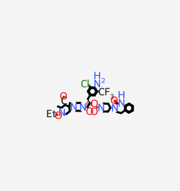 CCON1CCC(C)(N2CCN(C(=O)[C@@H](Cc3cc(Cl)c(N)c(C(F)(F)F)c3)OC(=O)N3CCC(N4CCc5ccccc5NC4=O)CC3)CC2)C(=C=O)C1C